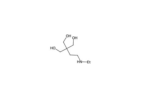 CCNCCC(CO)(CO)CO